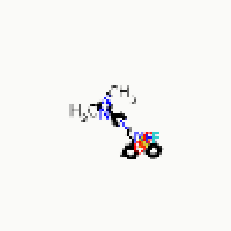 CCN1C=C(C2CCN(CC[C@@H](NS(=O)(=O)c3ccccc3F)c3ccccc3)CC2)N=C(C)C1